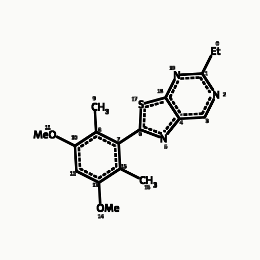 CCc1ncc2nc(-c3c(C)c(OC)cc(OC)c3C)sc2n1